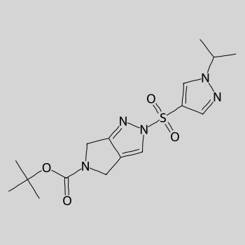 CC(C)n1cc(S(=O)(=O)n2cc3c(n2)CN(C(=O)OC(C)(C)C)C3)cn1